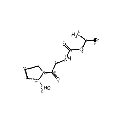 CC(C)C(C)OC(=O)NCC(=O)N1CCC[C@H]1C=O